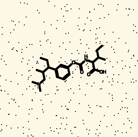 CCC(C)C(NC(=O)Oc1cccc(C(CC)C(C)CN(C)C)c1)C(=O)O